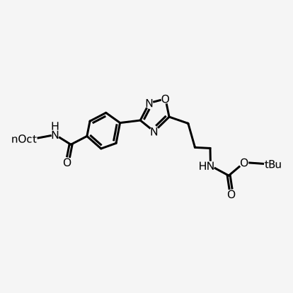 CCCCCCCCNC(=O)c1ccc(-c2noc(CCCNC(=O)OC(C)(C)C)n2)cc1